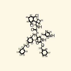 O=C(CN(Cc1ccc(OCc2ccccc2)cc1)C(=O)[C@H](Cc1c[nH]cn1)NC(=O)OCc1ccccc1)NCC1(c2c(Cl)cccc2Cl)CCC1